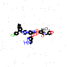 O=C(NS(=O)(=O)C1=CC2C(=O)N(CC3CCOCC3)CC2C([N+](=O)[O-])=C1)c1ccc(N2CCN(CC3=C(c4ccc(Cl)cc4)CC4(CCC4)CC3)CC2)cc1Oc1cnc2[nH]ccc2c1